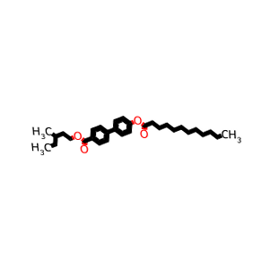 CCCCCCCCCCCC(=O)Oc1ccc(-c2ccc(C(=O)OCCC(C)CC)cc2)cc1